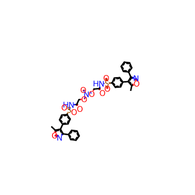 Cc1onc(-c2ccccc2)c1-c1ccc(S(=O)(=O)NC(=O)CO[N+](=O)OCC(=O)NS(=O)(=O)c2ccc(-c3c(-c4ccccc4)noc3C)cc2)cc1